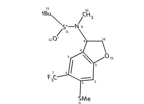 CSc1cc2c(cc1C(F)(F)F)C(N(C)[S+]([O-])C(C)(C)C)CO2